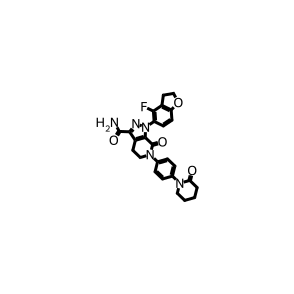 NC(=O)c1nn(-c2ccc3c(c2F)CCO3)c2c1CCN(c1ccc(N3CCCCC3=O)cc1)C2=O